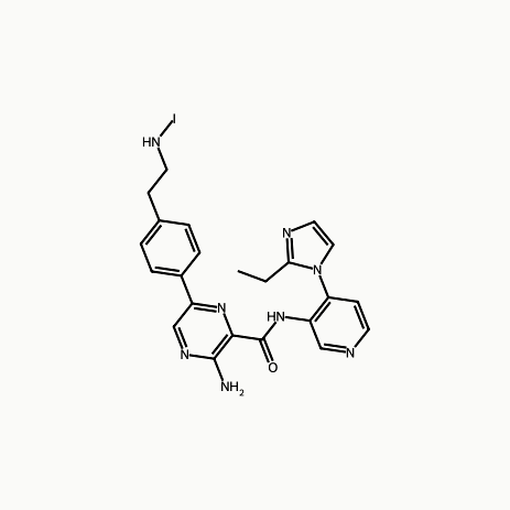 CCc1nccn1-c1ccncc1NC(=O)c1nc(-c2ccc(CCNI)cc2)cnc1N